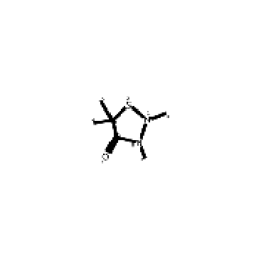 CN1SC(C)(C)C(=O)N1C